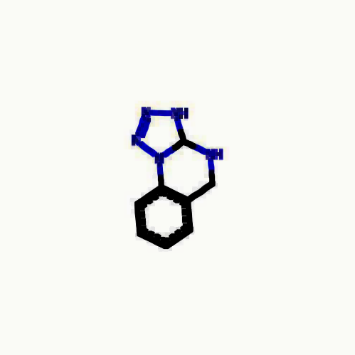 c1ccc2c(c1)CNC1NN=NN21